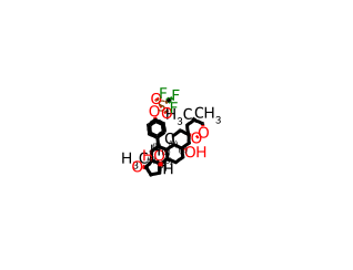 CC1(C)COOC2(CC[C@@]34Cc5cc(OS(=O)(=O)C(F)(F)F)ccc5[C@H]5C[C@]6(C)C(=O)CC[C@H]6[C@H](CC[C@@]3(O)C2)[C@]54O)C1